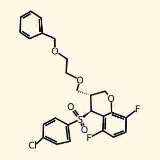 O=S(=O)(c1ccc(Cl)cc1)[C@@H]1c2c(F)ccc(F)c2OC[C@H]1COCCOCc1ccccc1